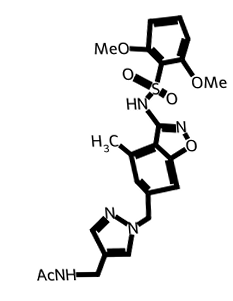 COc1cccc(OC)c1S(=O)(=O)Nc1noc2cc(Cn3cc(CNC(C)=O)cn3)cc(C)c12